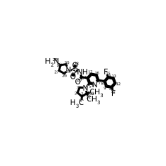 CC1CCN(c2nc(-c3cc(F)ccc3F)ccc2C(=O)NS(=O)(=O)N2CC[C@H](N)C2)C1(C)C